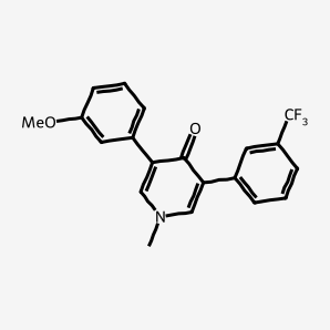 COc1cccc(-c2cn(C)cc(-c3cccc(C(F)(F)F)c3)c2=O)c1